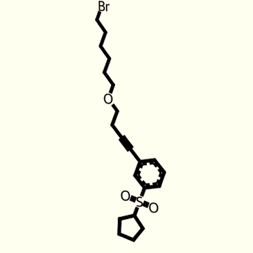 O=S(=O)(c1cccc(C#CCCOCCCCCCBr)c1)C1CCCC1